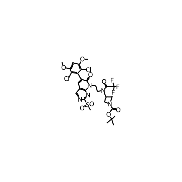 COc1cc(OC)c(Cl)c(-c2cc3cnc(S(C)(=O)=O)nc3n(CCN(C(=O)C(F)(F)F)C3CN(C(=O)OC(C)(C)C)C3)c2=O)c1Cl